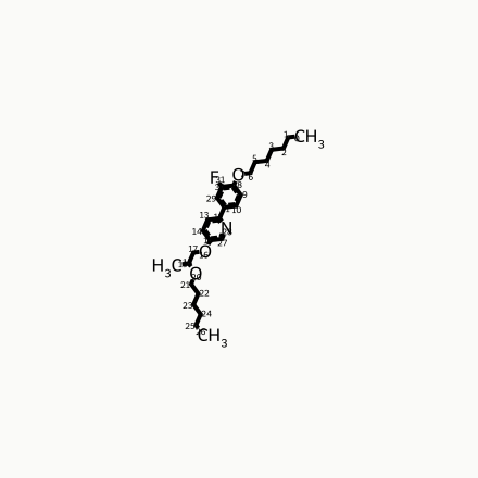 CCCCCCCOc1ccc(-c2ccc(OCC(C)OCCCCCC)cn2)cc1F